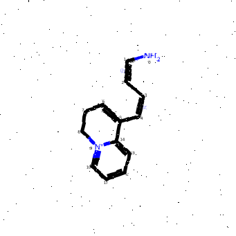 N/C=C\C=C/C1=CCC[n+]2ccccc21